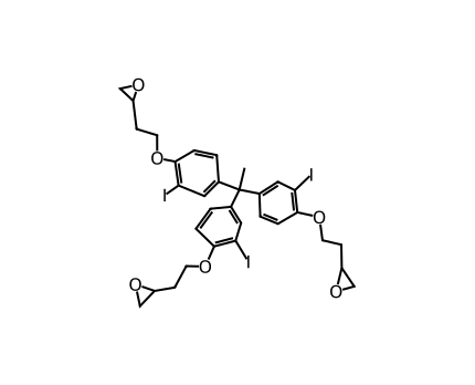 CC(c1ccc(OCCC2CO2)c(I)c1)(c1ccc(OCCC2CO2)c(I)c1)c1ccc(OCCC2CO2)c(I)c1